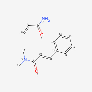 C=CC(N)=O.CN(C)C(=O)/C=C/c1ccccc1